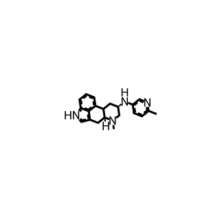 Cc1ccc(N[C@@H]2CC3c4cccc5[nH]cc(c45)C[C@H]3N(C)C2)cn1